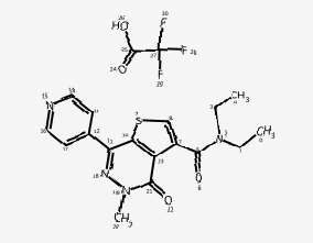 CCN(CC)C(=O)c1csc2c(-c3ccncc3)nn(C)c(=O)c12.O=C(O)C(F)(F)F